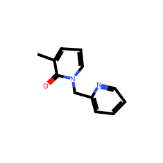 Cc1cccn(Cc2ccccn2)c1=O